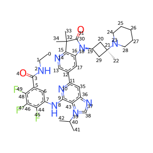 CCNC(=O)c1cc(Nc2nc(-c3cnc4c(c3)N([C@H]3C[C@@](C)(N5CCCCC5)C3)C(=O)C4(C)C)cc3ncn(C(C)C)c23)c(F)c(F)c1F